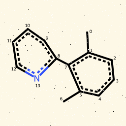 Cc1cccc(C)c1-c1ccccn1